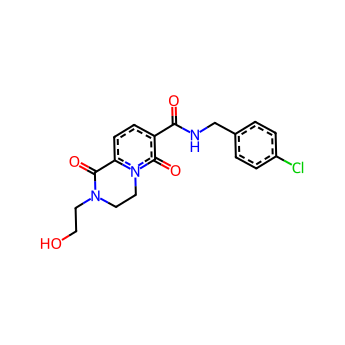 O=C(NCc1ccc(Cl)cc1)c1ccc2n(c1=O)CCN(CCO)C2=O